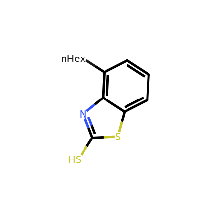 CCCCCCc1cccc2sc(S)nc12